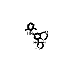 Cc1cccc(C)c1Nc1cc2c3c(c1)[C@@H]1CNCC[C@@H]1N3CCOC2